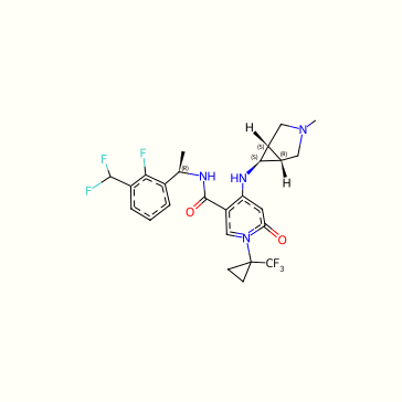 C[C@@H](NC(=O)c1cn(C2(C(F)(F)F)CC2)c(=O)cc1N[C@H]1[C@@H]2CN(C)C[C@@H]21)c1cccc(C(F)F)c1F